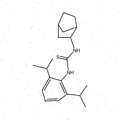 CC(C)c1cccc(C(C)C)c1NC(=S)NC1CC2CCC1C2